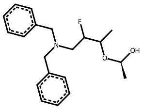 CC(O[C@H](C)O)C(F)CN(Cc1ccccc1)Cc1ccccc1